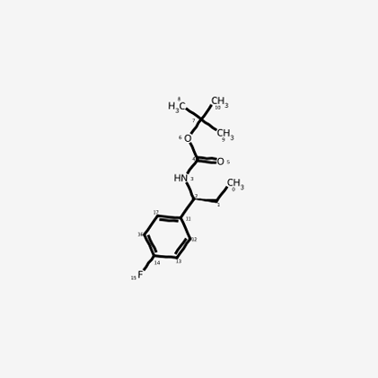 CC[C@H](NC(=O)OC(C)(C)C)c1ccc(F)cc1